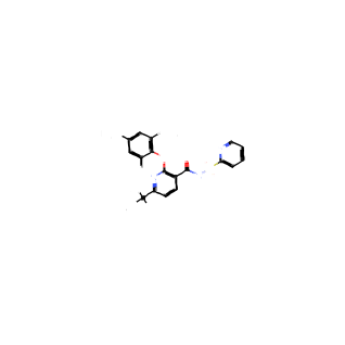 Cc1cc(C)c(Oc2nc(C(C)(C)C)ccc2C(=O)NS(=O)(=O)c2ccccn2)c(C)c1